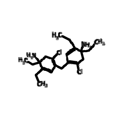 CCC1=CC(CC2=C(Cl)CC(N)(CC)C(CC)=C2)=C(Cl)CC1(N)CC